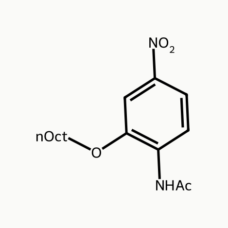 CCCCCCCCOc1cc([N+](=O)[O-])ccc1NC(C)=O